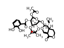 C=C[C@H]1[C@H](O[C@@H]2O[C@H](OC(C)=O)[C@@H](OC(=O)c3cccc(O)c3O)[C@H](OC(C)=O)[C@H]2OC(C)=O)OC=C2C(=O)OCC[C@H]21